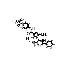 Cc1cc(C(=O)Nc2ccc(S(C)(=O)=O)cc2)c(C)n1C(NC(=O)c1ccccc1)C(=O)O